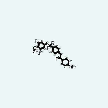 CCCC1CCC(C(F)Cc2ccc(C(F)(F)Oc3cc(F)c(OC(F)(F)F)c(F)c3)cc2)CC1